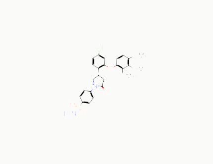 COc1ccc(Oc2cc(Cl)ccc2[C@H]2CC(=O)N(c3ccc(S(N)(=O)=O)cc3)C2)c(OC)c1OC